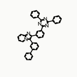 c1ccc(-c2cccc(-c3c(-c4cccc(-c5nc(-c6ccccc6)nc(-c6ccccc6)n5)c4)nc4ccccn34)c2)cc1